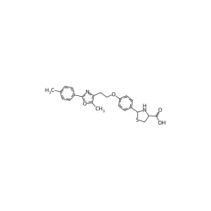 Cc1ccc(-c2nc(CCOc3ccc(C4NC(C(=O)O)CS4)cc3)c(C)o2)cc1